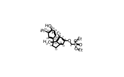 CCOP(=O)(COc1cc(C)c2c(c1)CCC2(C)c1ccc(O)c(C(C)C)c1)OCC